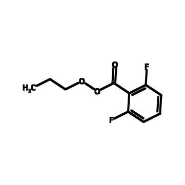 CCCOOC(=O)c1c(F)cccc1F